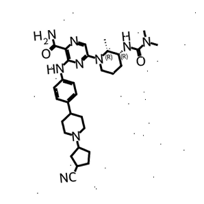 C[C@@H]1[C@H](NC(=O)N(C)C)CCCN1c1cnc(C(N)=O)c(Nc2ccc(C3CCN(C4CCC(C#N)C4)CC3)cc2)n1